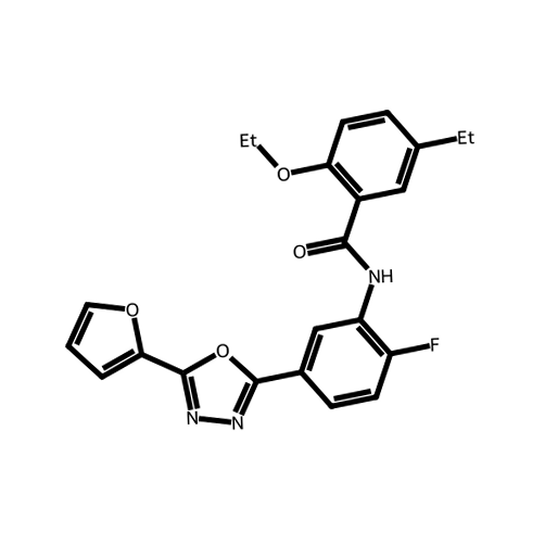 CCOc1ccc(CC)cc1C(=O)Nc1cc(-c2nnc(-c3ccco3)o2)ccc1F